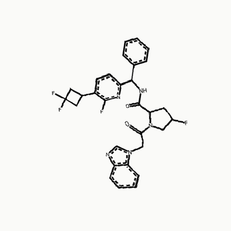 O=C(NC(c1ccccc1)c1ccc(C2CC(F)(F)C2)c(F)n1)C1CC(F)CN1C(=O)Cn1cnc2ccccc21